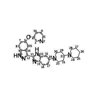 c1cncc(Oc2ccc3[nH]nc(-c4nc5ccc(N6CCC(N7CCCCC7)CC6)cc5[nH]4)c3c2)c1